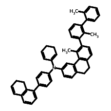 Cc1ccccc1-c1cccc(-c2ccc3c(c2C)-c2cc(N(C4=CCCC=C4)c4ccc(-c5cccc6c5CCC=C6)cc4)ccc2CC3)c1C